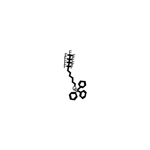 FC(F)(F)C(F)(F)C(F)(F)C(F)(F)CCCCCCO[Si](c1ccccc1)(c1ccccc1)c1ccccc1